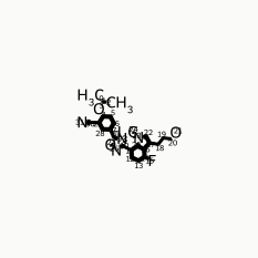 CC(C)Oc1ccc(-c2nc(-c3ccc(F)c4c(CCC=O)cn(C)c34)no2)cc1C#N